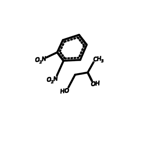 CC(O)CO.O=[N+]([O-])c1ccccc1[N+](=O)[O-]